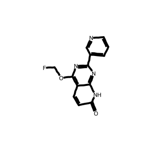 O=c1ccc2c(OCF)nc(-c3cccnc3)nc2[nH]1